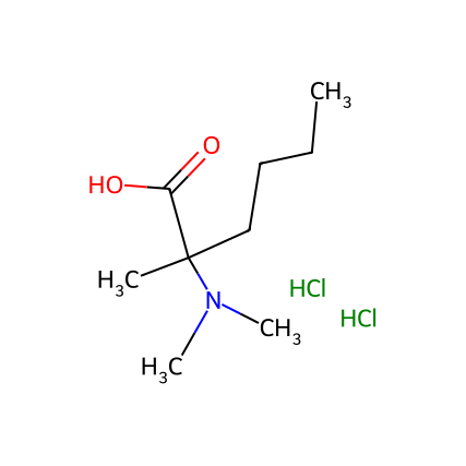 CCCCC(C)(C(=O)O)N(C)C.Cl.Cl